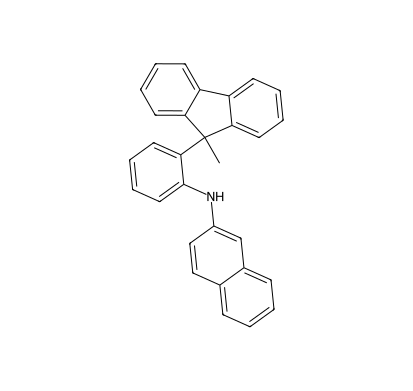 CC1(c2ccccc2Nc2ccc3ccccc3c2)c2ccccc2-c2ccccc21